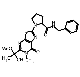 COC(C)(C)c1nc2sc(N3CCCC3C(=O)NCc3ccccc3)nc2c(=O)n1C